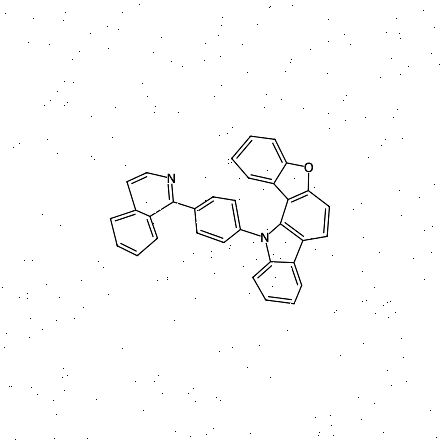 c1ccc2c(-c3ccc(-n4c5ccccc5c5ccc6oc7ccccc7c6c54)cc3)nccc2c1